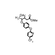 COC(=O)CC(OC(C)=O)C(C)Oc1ccc(Oc2ccc(C(F)(F)F)cn2)cc1